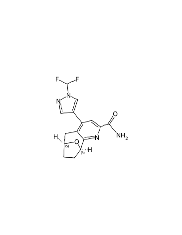 NC(=O)c1cc(-c2cnn(C(F)F)c2)c2c(n1)[C@H]1CC[C@@H](C2)O1